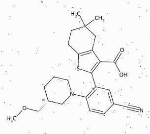 COC[C@@H]1CCCN(c2ccc(C#N)cc2-c2sc3c(c2C(=O)O)CC(C)(C)CC3)C1